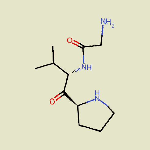 CC(C)[C@H](NC(=O)CN)C(=O)[C@@H]1CCCN1